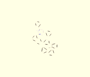 c1ccc(-c2nc(-c3ccccc3)nc(-c3cccc4ccc(-c5ccc6c(c5)C(c5ccccc5)(c5ccccc5)c5ccccc5-6)cc34)n2)cc1